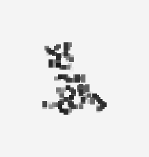 COC(=O)C(NC(=O)/C(C)=C(\O)[C@@H]1Oc2c(O)ccc3c2[C@@]12CCN(CC1CC1)[C@H](C3)[C@@]2(C)O)C(C)(C)C